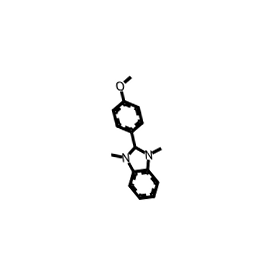 COc1ccc(C2N(C)c3ccccc3N2C)cc1